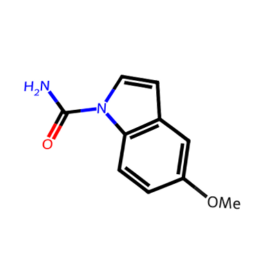 COc1ccc2c(ccn2C(N)=O)c1